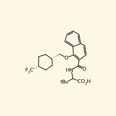 CC(C)(C)C(NC(=O)c1ccc2ccccc2c1OC[C@H]1CC[C@@H](C(F)(F)F)CC1)C(=O)O